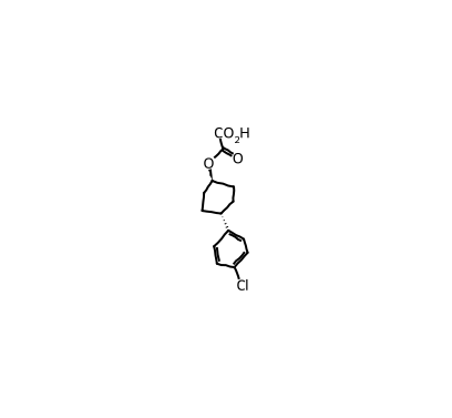 O=C(O)C(=O)O[C@H]1CC[C@H](c2ccc(Cl)cc2)CC1